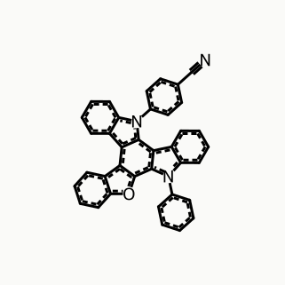 N#Cc1ccc(-n2c3ccccc3c3c4c5ccccc5oc4c4c(c5ccccc5n4-c4ccccc4)c32)cc1